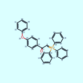 O=C(C=P(c1ccccc1)(c1ccccc1)c1ccccc1)c1ccc(Oc2ccccc2)cc1